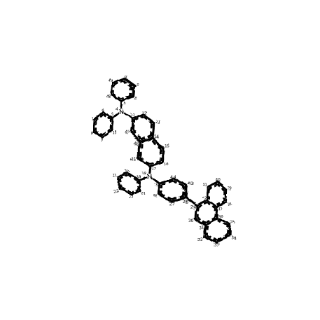 c1ccc(N(c2ccccc2)c2ccc3ccc(N(c4ccccc4)c4ccc(-c5cc6ccccc6c6ccccc56)cc4)cc3c2)cc1